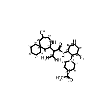 CC(=O)N1CCN(C2C(F)CNCC2NC(=O)C(C(N)N)C2CC3(CCCCC3)CC(F)CN2)CC1